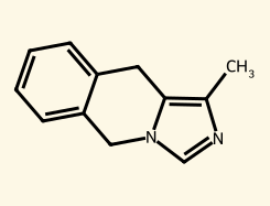 Cc1ncn2c1Cc1ccccc1C2